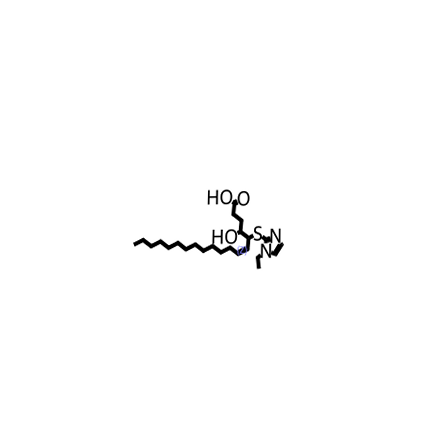 CCCCCCCCCCCC/C=C\C(Sc1nccn1CC)C(O)CCC(=O)O